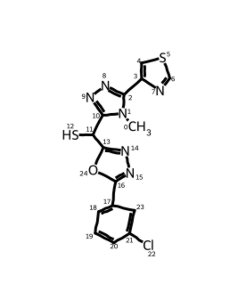 Cn1c(-c2cscn2)nnc1C(S)c1nnc(-c2cccc(Cl)c2)o1